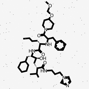 CCCC[C@H](NC(Cc1ccccc1)C(=O)N1CCC(OCOC)CC1)C(=O)N[C@@H](CC1CCCCC1)[C@@H](O)C[C@H](C(=O)NCCCn1ccnc1)C(C)C